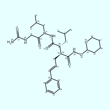 CC(C)C[C@@H](C(=O)NN(CC(C)C)C(=O)CNC(N)=O)[C@H](CC=Cc1ccccc1)C(=O)NOC1CCCCO1